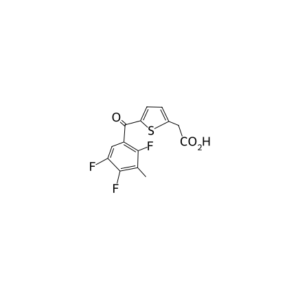 Cc1c(F)c(F)cc(C(=O)c2ccc(CC(=O)O)s2)c1F